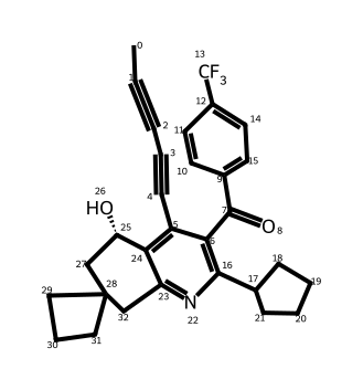 CC#CC#Cc1c(C(=O)c2ccc(C(F)(F)F)cc2)c(C2CCCC2)nc2c1[C@@H](O)CC1(CCC1)C2